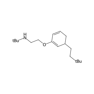 CC(C)(C)CCC1C=C(OCCNC(C)(C)C)C=CC1